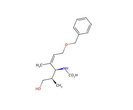 CC(=CCOCc1ccccc1)[C@@H](NC(=O)O)[C@@H](C)CO